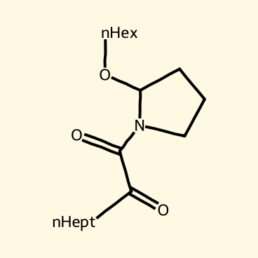 CCCCCCCC(=O)C(=O)N1CCCC1OCCCCCC